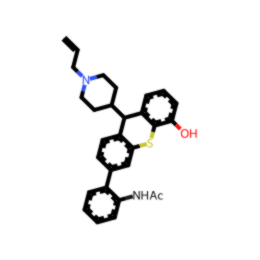 C=CCN1CCC(C2c3ccc(-c4ccccc4NC(C)=O)cc3Sc3c(O)cccc32)CC1